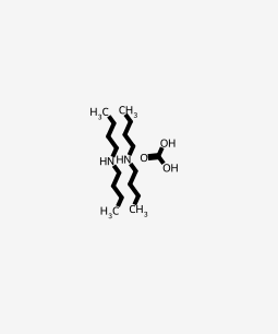 CCCCNCCCC.CCCCNCCCC.O=C(O)O